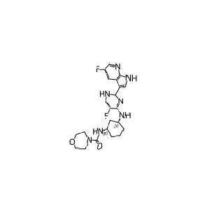 O=C(N[C@@H]1CCC[C@H](NC2=NC(c3c[nH]c4ncc(F)cc34)NC=C2F)C1)N1CCOCC1